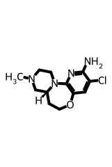 CN1CCN2c3nc(N)c(Cl)cc3OCC[C@@H]2C1